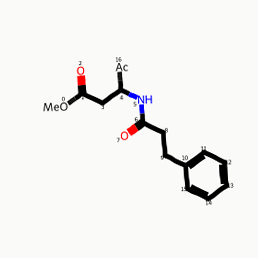 COC(=O)CC(NC(=O)CCc1ccccc1)C(C)=O